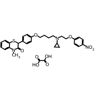 CN1C(=O)C(c2ccc(OCCCCN(CCOc3ccc([N+](=O)[O-])cc3)C3CC3)cc2)Sc2ccccc21.O=C(O)C(=O)O